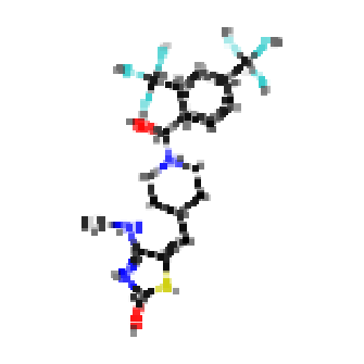 CNC1=NC(=O)SC1=CC1CCN(C(=O)c2ccc(C(F)(F)F)cc2C(F)(F)F)CC1